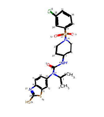 CC(C)N(C(=O)NC1CCN(S(=O)(=O)c2cccc(Cl)c2)CC1)c1ccc2nc(S)sc2c1